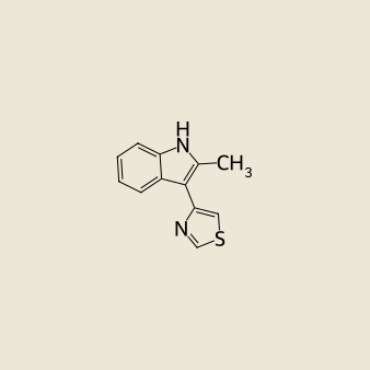 Cc1[nH]c2ccccc2c1-c1cscn1